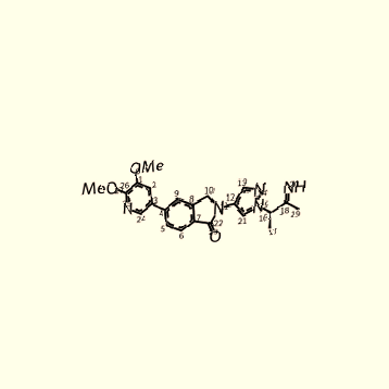 COc1cc(-c2ccc3c(c2)CN(c2cnn([C@H](C)C(C)=N)c2)C3=O)cnc1OC